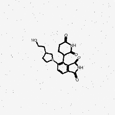 O=C1CCC(c2c(N3CCC(CCO)C3)ccc3c2C(=O)NC3=O)C(=O)N1